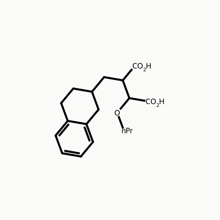 CCCOC(C(=O)O)C(CC1CCc2ccccc2C1)C(=O)O